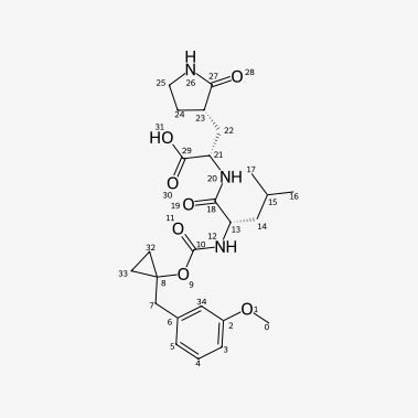 COc1cccc(CC2(OC(=O)N[C@@H](CC(C)C)C(=O)N[C@@H](C[C@@H]3CCNC3=O)C(=O)O)CC2)c1